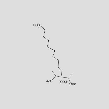 CC(=O)OC(C)C(CCCCCCCCCC(=O)O)(C(=O)O)C(C)OC(C)=O